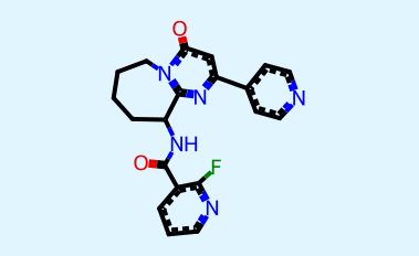 O=C(NC1CCCCn2c1nc(-c1ccncc1)cc2=O)c1cccnc1F